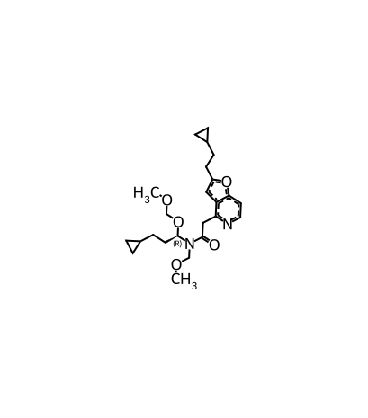 COCO[C@H](CCC1CC1)N(COC)C(=O)Cc1nccc2oc(CCC3CC3)cc12